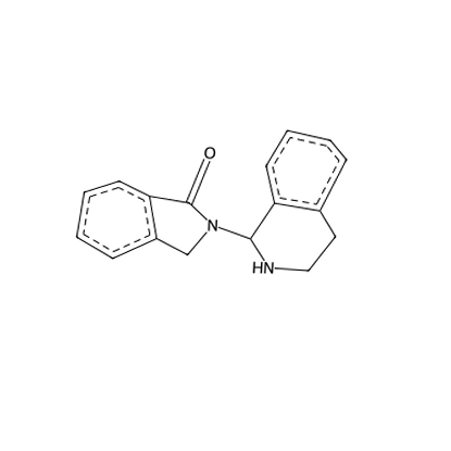 O=C1c2ccccc2CN1C1NCCc2ccccc21